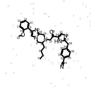 CCCCC1Cn2cc(-c3ccccc3OC)nc2CN1CC(=O)c1cnc(Cc2ccc(C#N)cc2)[nH]1